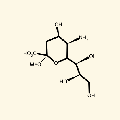 CO[C@]1(C(=O)O)C[C@@H](O)[C@@H](N)C([C@@H](O)[C@H](O)CO)O1